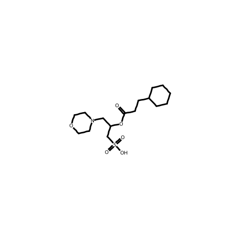 O=C(CCC1CCCCC1)OC(CN1CCOCC1)CS(=O)(=O)O